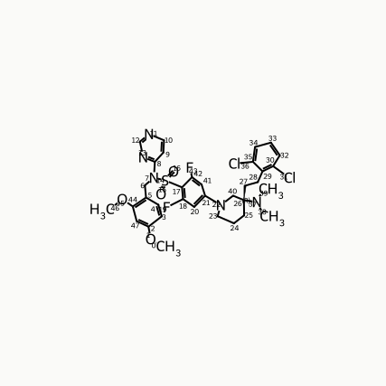 COc1ccc(CN(c2ccncn2)S(=O)(=O)c2c(F)cc(N3CCC[C@@](CCc4c(Cl)cccc4Cl)(N(C)C)C3)cc2F)c(OC)c1